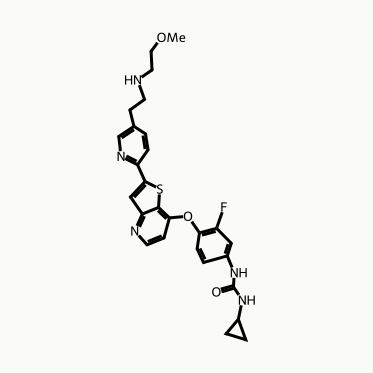 COCCNCCc1ccc(-c2cc3nccc(Oc4ccc(NC(=O)NC5CC5)cc4F)c3s2)nc1